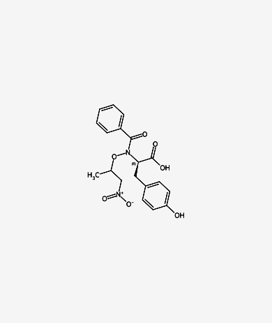 CC(C[N+](=O)[O-])ON(C(=O)c1ccccc1)[C@H](Cc1ccc(O)cc1)C(=O)O